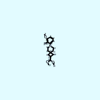 COc1cccc(N2CCC3(CC2)CC(C(OC)OC)C3)c1F